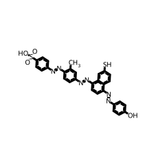 Cc1cc(N=Nc2ccc(N=Nc3ccc(O)cc3)c3ccc(S)cc23)ccc1N=Nc1ccc(S(=O)(=O)O)cc1